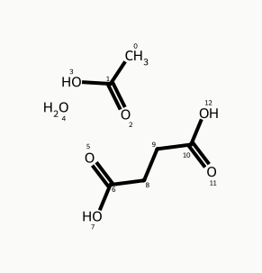 CC(=O)O.O.O=C(O)CCC(=O)O